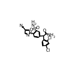 N#Cc1cnn(-c2ccc(C(C(N)=O)c3ccc(Cl)cc3Cl)cc2S(N)(=O)=O)c1